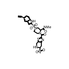 C#Cc1ccc2[nH]c(S(=O)(=O)N3CCN(C(=O)c4nc5c(s4)CNC(S(C)(=O)=O)C5)C(C(=O)NC)C3)cc2c1